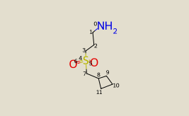 NCCCS(=O)(=O)CC1CCC1